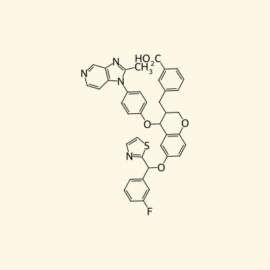 Cc1nc2cnccc2n1-c1ccc(OC2c3cc(OC(c4cccc(F)c4)c4nccs4)ccc3OCC2Cc2cccc(C(=O)O)c2)cc1